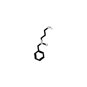 CCCC[SiH](Cl)Cc1ccccc1